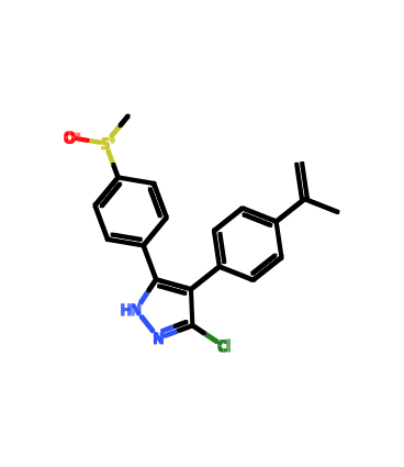 C=C(C)c1ccc(-c2c(Cl)n[nH]c2-c2ccc([S+](C)[O-])cc2)cc1